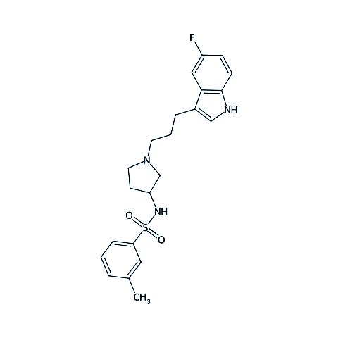 Cc1cccc(S(=O)(=O)NC2CCN(CCCc3c[nH]c4ccc(F)cc34)C2)c1